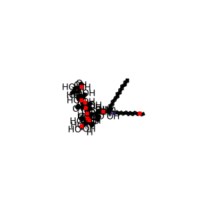 CCCCCCCCCCCCC/C=C/[C@@H](O)[C@H](CO[C@@H]1OC(CO)[C@@H](O[C@@H]2OC(CO)[C@H](O[C@@H]3OC(CO)[C@H](O)[C@H](O[C@@H]4OC(CO)[C@H](O[C@@H]5OC(CO)[C@H](O)[C@H](O)C5NC(C)=O)[C@H](O)C4O)C3NC(C)=O)[C@H](O[C@]3(C(=O)O)CC(O)[C@@H](NC(C)=O)C([C@H](O)[C@H](O)CO)O3)C2O)[C@H](O)C1O)NC(=O)CCCCCCCCCCCCCCC